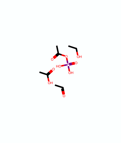 CC(=O)O.CC(=O)OP(=O)(O)O.CC=O.CCO